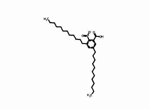 CCCCCCCCCCCCc1cc(CCCCCCCCCCCC)c([N+](=O)[O-])c(C(=O)O)c1